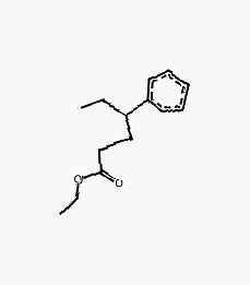 [CH2]CC(CCC(=O)OCC)c1ccccc1